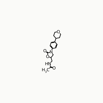 CC(=O)NCC1CN(c2ccc(C3CCOCC3)cc2)C(=O)O1